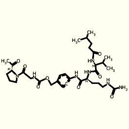 CC(=O)[C@H]1CCCN1C(=O)CNC(=O)OCc1ccc(NC(=O)[C@H](CCCNC(N)=O)NC(=O)[C@@H](NC(=O)CCC(C)C)C(C)C)cc1